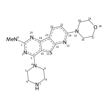 CNc1nc(N2CCNCC2)c2sc3nc(N4CCOCC4)ccc3c2n1